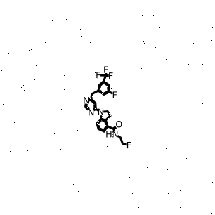 O=C(NCCF)c1cccc2c1CCN2c1cc(Cc2cc(F)cc(C(F)(F)F)c2)ncn1